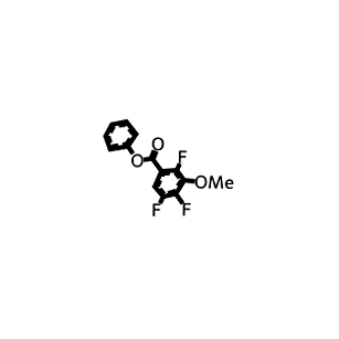 COc1c(F)c(F)cc(C(=O)Oc2ccccc2)c1F